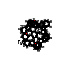 FC(F)(F)c1cccc(-c2c(-n3c4ccccc4c4ccccc43)c(-n3c4ccccc4c4ccccc43)c(-n3c4ccccc4c4c5ccccc5n(-c5ccccc5)c43)c(-n3c4ccccc4c4ccccc43)c2-n2c3ccccc3c3ccccc32)c1